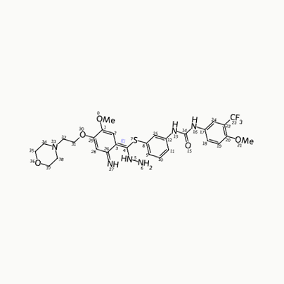 COC1=C/C(=C(/NN)Sc2cccc(NC(=O)Nc3ccc(OC)c(C(F)(F)F)c3)c2)C(=N)C=C1OCCN1CCOCC1